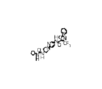 O=C(NC1CCCC1)NC1CCN(c2ccc(NC(=O)c3oc(N4CCCCC4)nc3C(F)(F)F)cn2)CC1